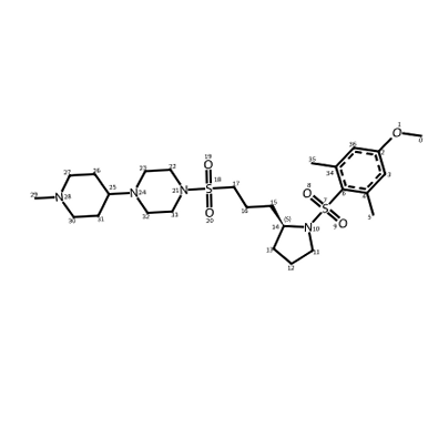 COc1cc(C)c(S(=O)(=O)N2CCC[C@H]2CCCS(=O)(=O)N2CCN(C3CCN(C)CC3)CC2)c(C)c1